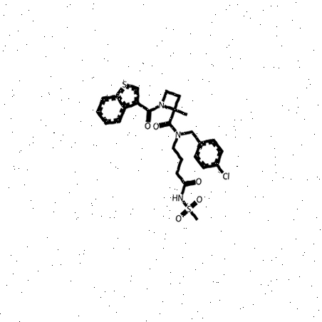 CC1(C(=O)N(CCCC(=O)NS(C)(=O)=O)Cc2ccc(Cl)cc2)CCN1C(=O)c1csc2ccccc12